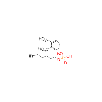 CC(C)CCCCCOP(=O)(O)O.O=C(O)c1ccccc1C(=O)O